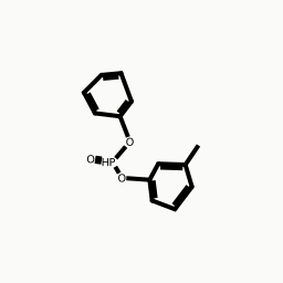 Cc1cccc(O[PH](=O)Oc2ccccc2)c1